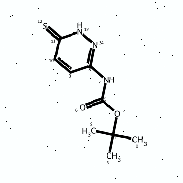 CC(C)(C)OC(=O)Nc1ccc(=S)[nH]n1